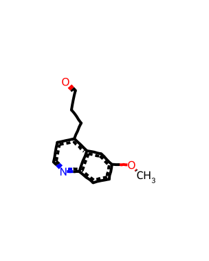 COc1ccc2nccc(CCC=O)c2c1